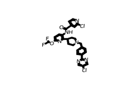 O=C(Nc1ccc(OC(F)F)nc1C1CCN(Cc2ccc(-c3ncc(Cl)cn3)cc2)CC1)c1ccnc(Cl)c1